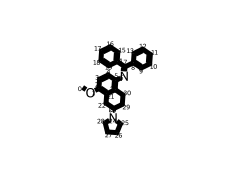 COc1ccc(N=C(c2ccccc2)c2ccccc2)c2c1C[C@@H](N1CCCC1)CC2